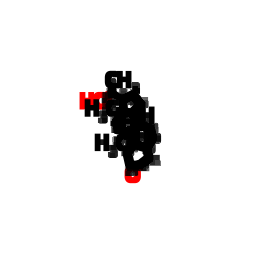 CC(O)[C@H]1CC[C@H]2[C@@H]3CCC4CC5OC5C[C@]4(C)[C@H]3CC[C@]12C